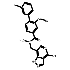 CCOc1cc(C(=O)N(C)Cc2cnc(C#N)c3cn[nH]c23)ccc1-c1cccc(F)c1